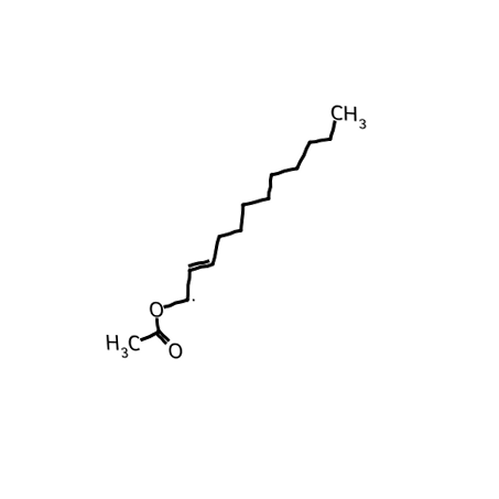 CCCCCCCCCC=C[CH]OC(C)=O